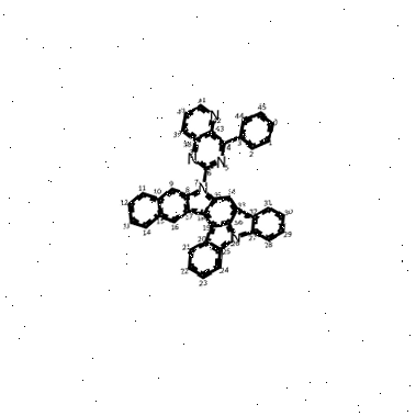 c1ccc(-c2nc(-n3c4cc5ccccc5cc4c4c5c6ccccc6n6c7ccccc7c(cc43)c56)nc3cccnc23)cc1